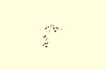 O=S(=O)(O)O.O=S(=O)([O-])[O-].O=S(=O)([O-])[O-].O=S(=O)([O-])[O-].[Rh+3].[Rh+3]